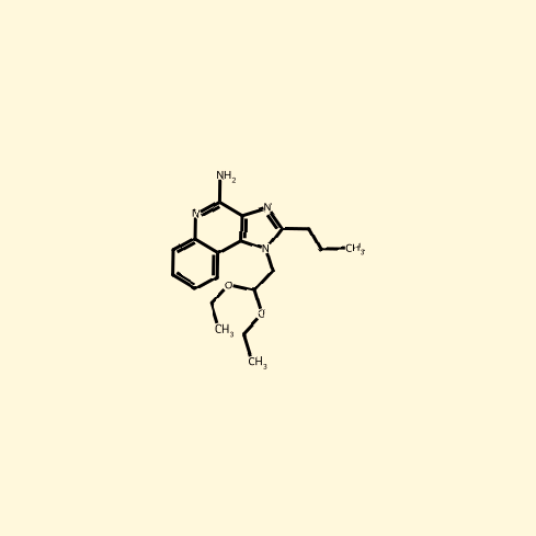 CCCc1nc2c(N)nc3ccccc3c2n1CC(OCC)OCC